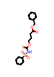 O=C(CCCOC(=S)NS(=O)(=O)c1ccccc1)OCc1ccccc1